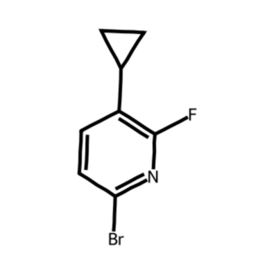 Fc1nc(Br)ccc1C1CC1